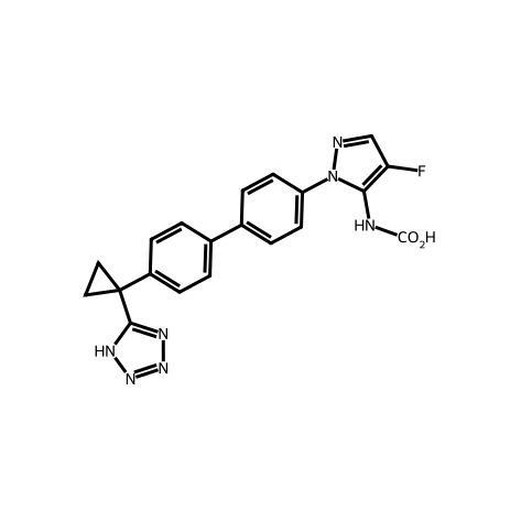 O=C(O)Nc1c(F)cnn1-c1ccc(-c2ccc(C3(c4nnn[nH]4)CC3)cc2)cc1